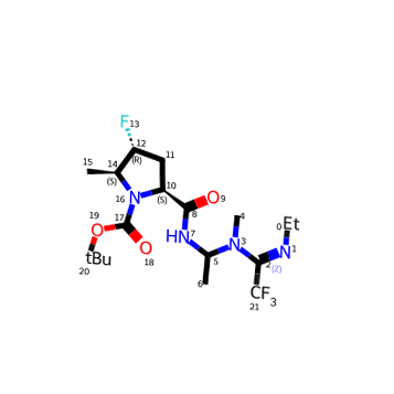 CC/N=C(\N(C)C(C)NC(=O)[C@@H]1C[C@@H](F)[C@H](C)N1C(=O)OC(C)(C)C)C(F)(F)F